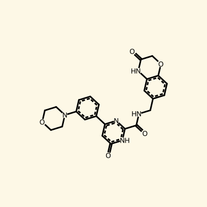 O=C1COc2ccc(CNC(=O)c3nc(-c4cccc(N5CCOCC5)c4)cc(=O)[nH]3)cc2N1